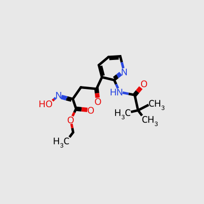 CCOC(=O)/C(CC(=O)c1cccnc1NC(=O)C(C)(C)C)=N\O